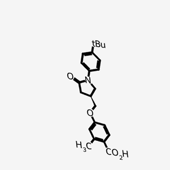 Cc1cc(OC[C@H]2CC(=O)N(c3ccc(C(C)(C)C)cc3)C2)ccc1C(=O)O